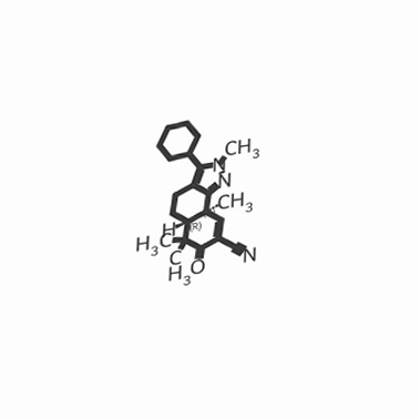 Cn1nc2c(c1C1CCCCC1)CC[C@H]1C(C)(C)C(=O)C(C#N)=C[C@]21C